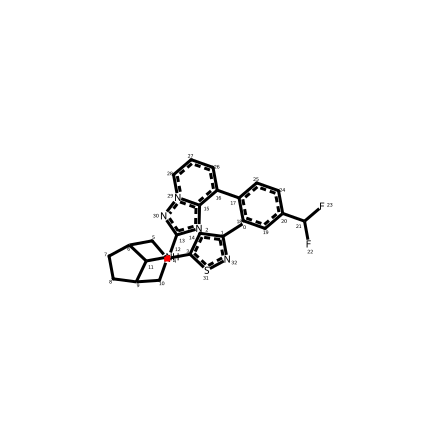 Cc1cc(N2CC3CCC(C2)C3Nc2nc3c(-c4ccc(C(F)F)cc4)cccn3n2)sn1